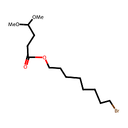 COC(CCC(=O)OCCCCCCCCBr)OC